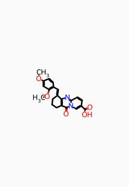 COc1ccc(C=C2CCCc3c2nc2ccc(C(=O)O)cn2c3=O)c(OC)c1